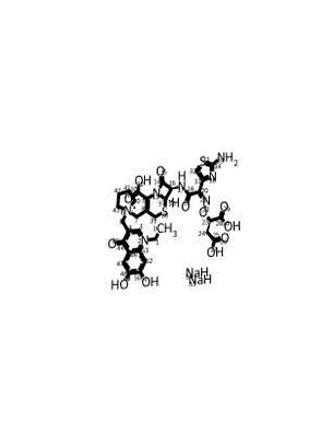 CCn1cc(C[N+]2(CC3=C(C(=O)O)N4C(=O)[C@@H](NC(=O)/C(=N\O[C@H](CC(=O)O)C(=O)O)c5csc(N)n5)[C@H]4SC3)CCCC2)c(=O)c2cc(O)c(O)cc21.[NaH].[NaH]